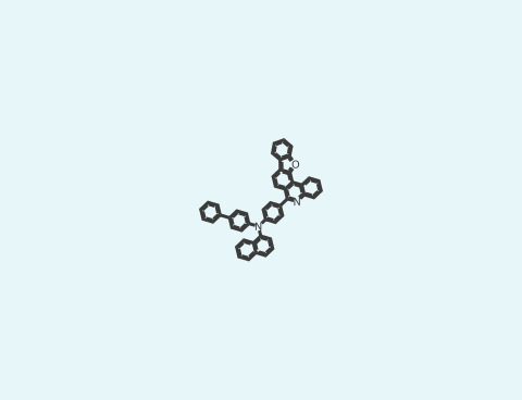 c1ccc(-c2ccc(N(c3ccc(-c4nc5ccccc5c5c4ccc4c6ccccc6oc45)cc3)c3cccc4ccccc34)cc2)cc1